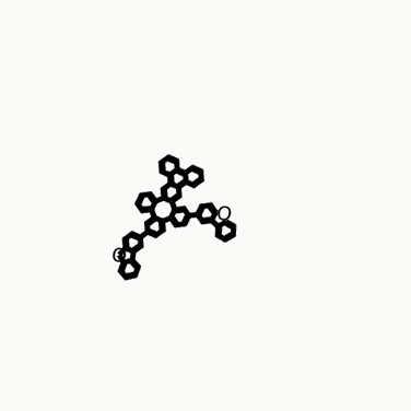 c1ccc2c(c1)-c1cc(-c3ccc4oc5ccccc5c4c3)ccc1-c1ccc(-c3ccc4oc5ccccc5c4c3)cc1-c1cc3c4ccccc4c4ccccc4c3cc1-2